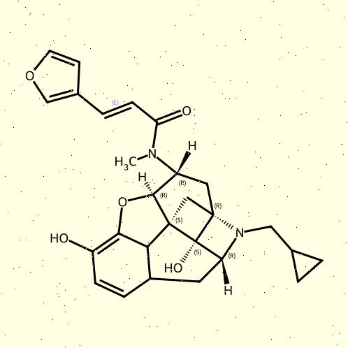 CN(C(=O)/C=C/c1ccoc1)[C@@H]1C[C@@]23C[C@@]45C6C(=C(O)C=CC6C[C@@H](N2CC2CC2)[C@]34O)O[C@@H]15